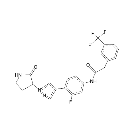 O=C(Cc1cccc(C(F)(F)F)c1)Nc1ccc(-c2cnn(C3CCNC3=O)c2)c(F)c1